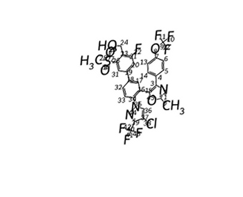 Cc1nc(-c2ccc(OC(F)(F)F)cc2)c(-c2cc(-c3cc(F)c(CO)c(S(C)(=O)=O)c3)ccc2-n2cc(Cl)c(C(F)(F)F)n2)o1